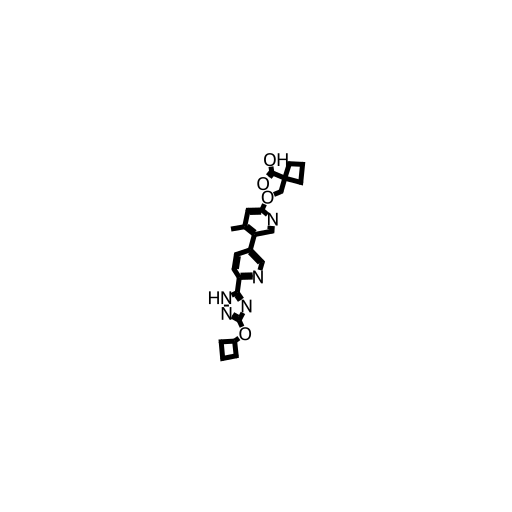 Cc1cc(OCC2(C(=O)O)CCC2)ncc1-c1ccc(-c2nc(OC3CCC3)n[nH]2)nc1